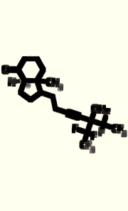 CC12CCCC(=O)[C@@H]1CCC2CCC#CC(O)(C(F)(F)C(F)(F)F)C(F)(F)C(F)(F)F